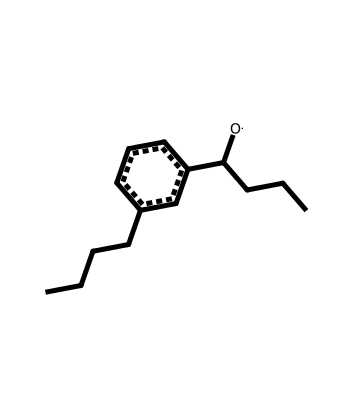 CCCCc1cccc(C([O])CCC)c1